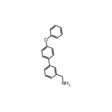 NCc1[c]ccc(-c2ccc(Oc3ccccc3)cc2)c1